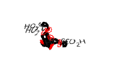 O=C(O)c1cccc(C(=O)Oc2ccc3c(c2)Oc2cc(OC(=O)c4cccc(C(=O)O)c4C(=O)O)ccc2C32c3ccccc3-c3ccccc32)c1C(=O)O